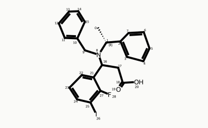 C[C@H](c1ccccc1)N(Cc1ccccc1)C(CC(=O)O)c1cccc(I)c1F